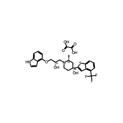 C[C@H]1C[C@@](O)(c2cc3c(C(F)(F)F)cccc3s2)CCN1C[C@H](O)COc1cccc2[nH]ccc12.O=C(O)C(=O)O